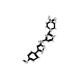 COc1ccc(-c2cc(Nc3ccnc(N4CCS(=O)(=O)CC4)n3)on2)cc1